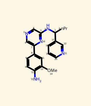 CCCC(Nc1cncc(-c2ccc(N)c(OC)c2)n1)c1cccnc1